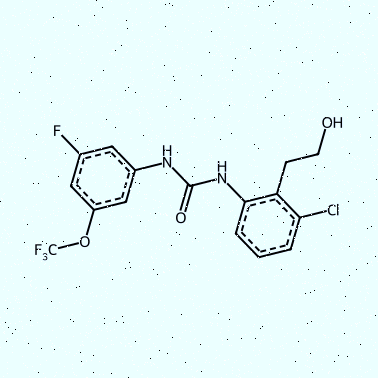 O=C(Nc1cc(F)cc(OC(F)(F)F)c1)Nc1cccc(Cl)c1CCO